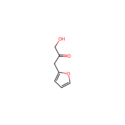 O=C(CO)Cc1ccco1